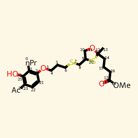 CCCc1c(OCCCSCC2COC(C)(CCCC(=O)OC)S2)ccc(C(C)=O)c1O